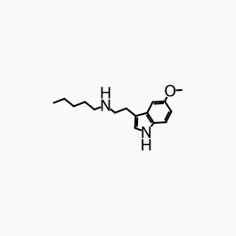 CCCCCNCCc1c[nH]c2ccc(OC)cc12